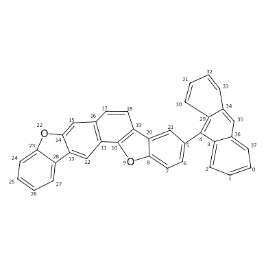 c1ccc2c(-c3ccc4oc5c6cc7c(cc6ccc5c4c3)oc3ccccc37)c3ccccc3cc2c1